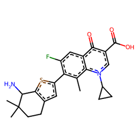 Cc1c(-c2cc3c(s2)C(N)C(C)(C)CC3)c(F)cc2c(=O)c(C(=O)O)cn(C3CC3)c12